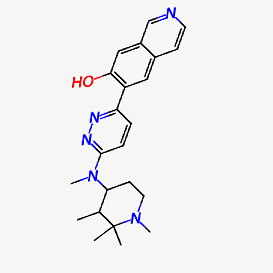 CC1C(N(C)c2ccc(-c3cc4ccncc4cc3O)nn2)CCN(C)C1(C)C